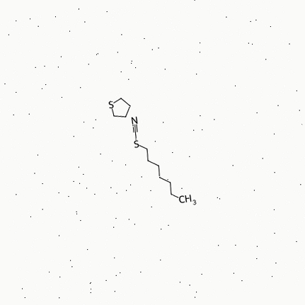 C1CCSC1.CCCCCCCSC#N